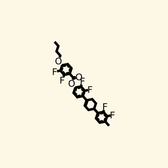 CCCCOc1ccc(C(=O)Oc2ccc(C3=CCC(c4ccc(C)c(F)c4F)CC3)c(F)c2F)c(F)c1F